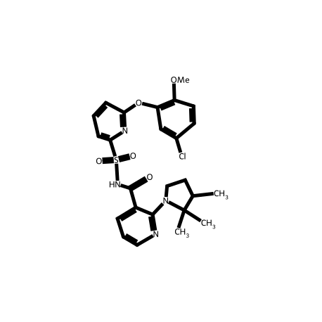 COc1ccc(Cl)cc1Oc1cccc(S(=O)(=O)NC(=O)c2cccnc2N2CCC(C)C2(C)C)n1